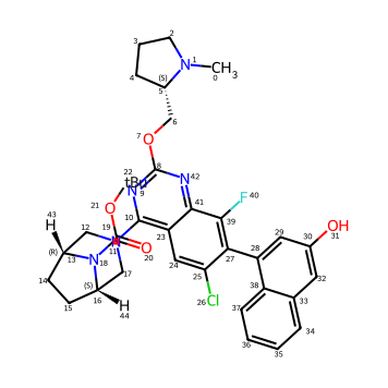 CN1CCC[C@H]1COc1nc(N2C[C@H]3CC[C@@H](C2)N3C(=O)OC(C)(C)C)c2cc(Cl)c(-c3cc(O)cc4ccccc34)c(F)c2n1